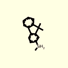 C[SiH2]c1ccc2c(c1)C(C)(C)c1ccccc1-2